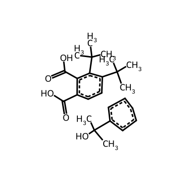 CC(C)(C)c1ccc(C(=O)O)c(C(=O)O)c1C(C)(C)C.CC(C)(O)c1ccccc1